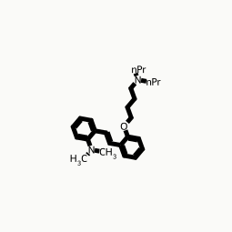 CCCN(CCC)CCCCOc1ccccc1/C=C/c1ccccc1N(C)C